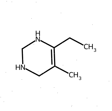 CCC1=C(C)CNCN1